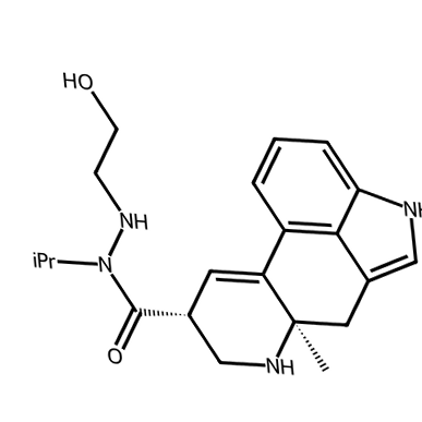 CC(C)N(NCCO)C(=O)[C@@H]1C=C2c3cccc4[nH]cc(c34)C[C@@]2(C)NC1